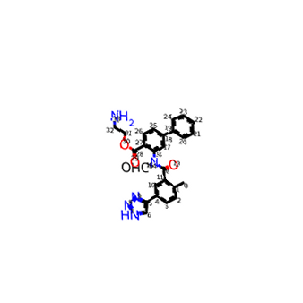 Cc1ccc(-c2c[nH]nn2)cc1C(=O)N(C=O)c1cc(-c2ccccc2)ccc1C(=O)OCCN